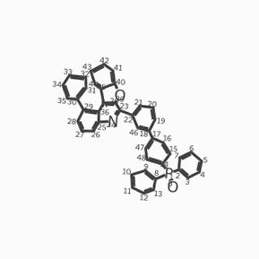 O=P(c1ccccc1)(c1ccccc1)c1ccc(-c2cccc(-c3nc4cccc(-c5ccccc5)c4c4c3oc3ccccc34)c2)cc1